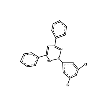 Clc1cc(Br)cc(N2N=C(c3ccccc3)C=C(c3ccccc3)N2)c1